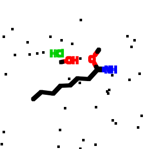 CCCCCCCC(=N)OC.CO.Cl